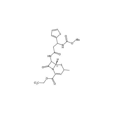 CC1C=C(C(=O)OCC(Cl)(Cl)Cl)N2C(=O)C(NC(=O)CC(NC(=O)OC(C)(C)C)c3cccs3)[C@@H]2S1